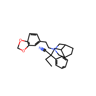 CCC(C#N)(CC1C2CCC1CN(CCc1ccc3c(c1)OCO3)C2)c1ccccc1